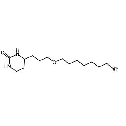 CC(C)CCCCCCCOCCCC1CCNC(=O)N1